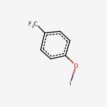 FC(F)(F)c1ccc(OI)cc1